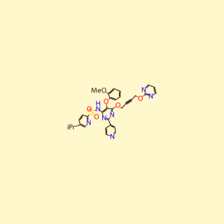 COc1ccccc1Oc1c(NS(=O)(=O)c2ccc(C(C)C)cn2)nc(-c2ccncc2)nc1OCC#CCOc1ncccn1